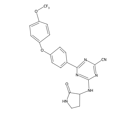 N#Cc1nc(NC2CCNC2=O)nc(-c2ccc(Oc3ccc(OC(F)(F)F)cc3)cc2)n1